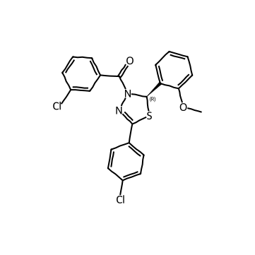 COc1ccccc1[C@H]1SC(c2ccc(Cl)cc2)=NN1C(=O)c1cccc(Cl)c1